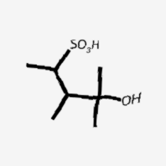 CC(C(C)S(=O)(=O)O)C(C)(C)O